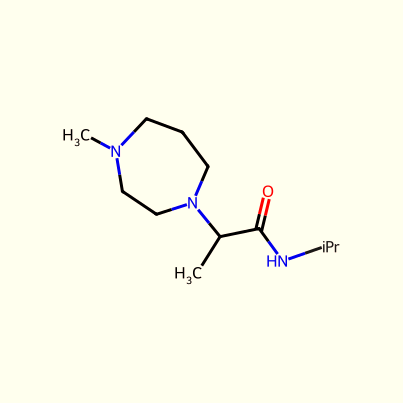 CC(C)NC(=O)C(C)N1CCCN(C)CC1